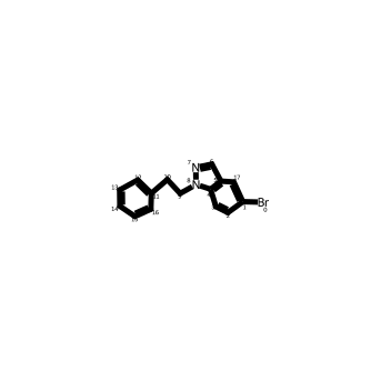 Brc1ccc2c(cnn2CCc2ccccc2)c1